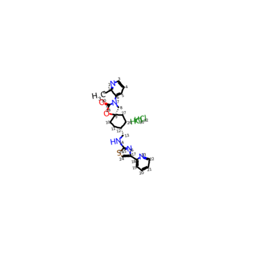 Cc1ncccc1N1C[C@]2(CC[C@@H](CNc3nc(-c4ccccn4)cs3)CC2)OC1=O.Cl.Cl